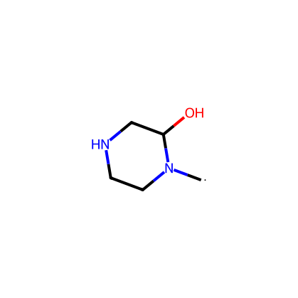 [CH2]N1CCNCC1O